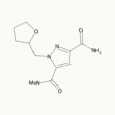 CNC(=O)c1[c]c(C(N)=O)nn1CC1CCCO1